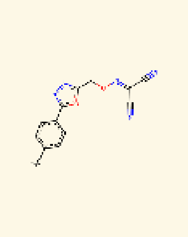 Cc1ccc(-c2nnc(CON=C(C#N)C#N)o2)cc1